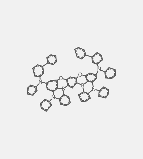 c1ccc(-c2cccc(N(c3ccccc3)c3cc4c5c(c3)N(c3ccccc3)c3ccccc3B5c3cc5c(cc3O4)Oc3cc(N(c4ccccc4)c4cccc(-c6ccccc6)c4)cc4c3B5c3ccccc3N4c3ccccc3)c2)cc1